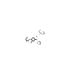 Cc1cc(N)nc(-c2c(Cl)cc3c(N4CC5CC(C4)N5)nc(OC[C@]45CCCN4C[C@H](F)C5)nc3c2F)c1C(F)(F)F